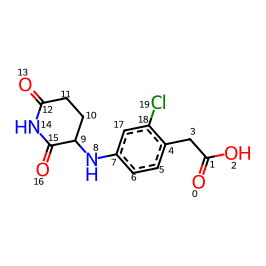 O=C(O)Cc1ccc(NC2CCC(=O)NC2=O)cc1Cl